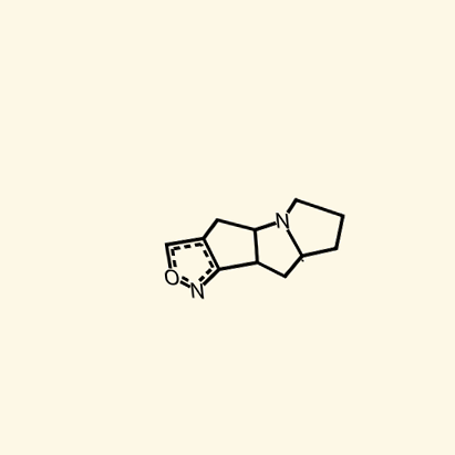 c1onc2c1CC1C2C[C]2CCCN21